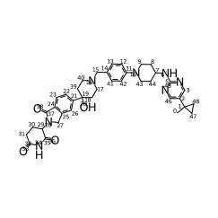 CC1(c2cnc(NC3CCN(c4ccc(CN5CCC(O)(c6ccc7c(c6)CN(C6CCC(=O)NC6=O)C7=O)CC5)cc4)CC3)nc2)CC1